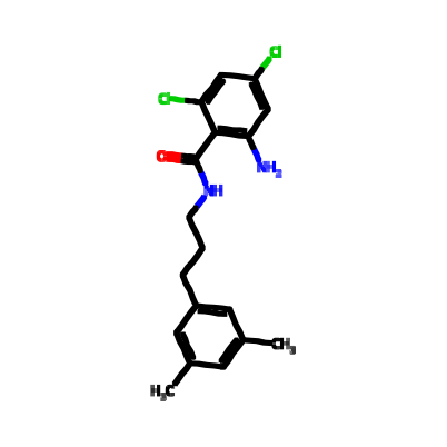 Cc1cc(C)cc(CCCNC(=O)c2c(N)cc(Cl)cc2Cl)c1